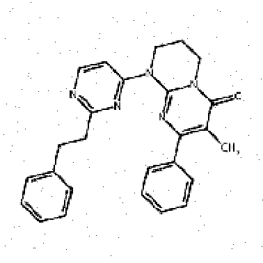 Cc1c(-c2ccccc2)nc2n(c1=O)CCCN2c1ccnc(CCc2ccccc2)n1